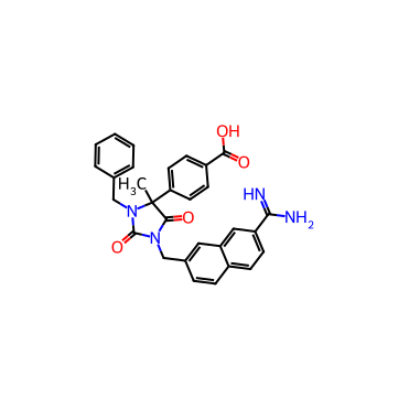 CC1(c2ccc(C(=O)O)cc2)C(=O)N(Cc2ccc3ccc(C(=N)N)cc3c2)C(=O)N1Cc1ccccc1